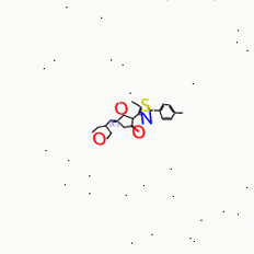 Cc1ccc(-c2nc(C3C(=O)C/C(=C\C4CCOCC4)C3=O)c(C)s2)cc1